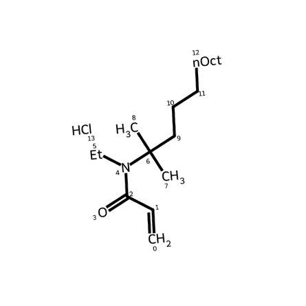 C=CC(=O)N(CC)C(C)(C)CCCCCCCCCCC.Cl